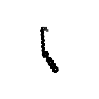 CCCCCCCCCCCCC1=CC=C(c2cc3cc4cc5c(cc4cc3s2)=CCCC=5)CC1